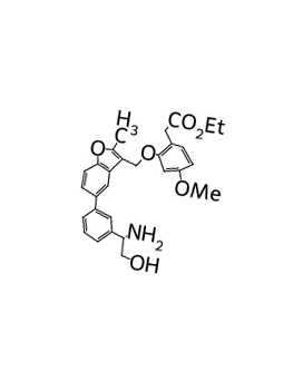 CCOC(=O)Cc1ccc(OC)cc1OCc1c(C)oc2ccc(-c3cccc([C@H](N)CO)c3)cc12